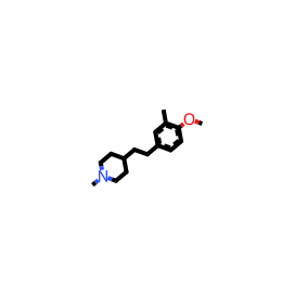 COc1ccc(CCC2CCN(C)CC2)cc1C